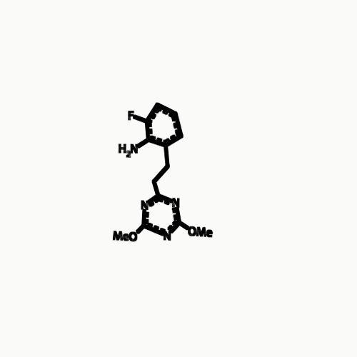 COc1nc(CCc2cccc(F)c2N)nc(OC)n1